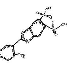 O=S(=O)(O)c1cc2nc(-c3ccccc3O)oc2cc1S(=O)(=O)O